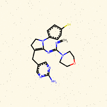 C=N/C(=N\C1=C(Cc2cnc(N)nc2)CCN1c1ccc(S)cc1)N1CCOCC1